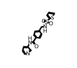 O=C(Nc1cccnc1)c1ccc(CNS(=O)(=O)c2cccs2)cc1